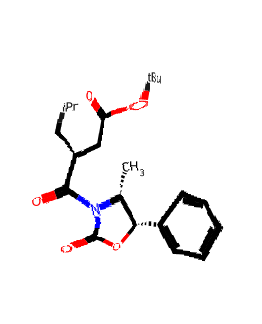 CC(C)C[C@@H](CC(=O)OC(C)(C)C)C(=O)N1C(=O)O[C@@H](c2ccccc2)[C@H]1C